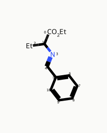 CCOC(=O)C(CC)/N=C/c1ccccc1